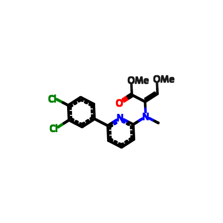 COC=C(C(=O)OC)N(C)c1cccc(-c2ccc(Cl)c(Cl)c2)n1